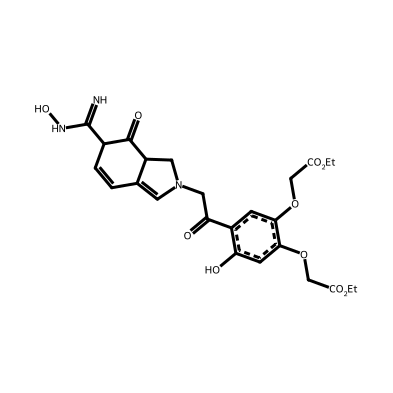 CCOC(=O)COc1cc(O)c(C(=O)CN2C=C3C=CC(C(=N)NO)C(=O)C3C2)cc1OCC(=O)OCC